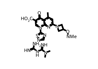 CN(C)C(=N)NC(=N)N.CNOC1CN(c2cc(C)c3c(=O)c(C(=O)O)cn(-c4ncns4)c3n2)C1